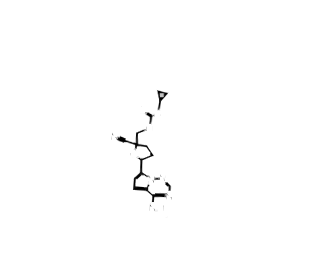 N#CC1(COC(=O)OC2CC2)CCC(c2ccc3c(N)ncnn23)O1